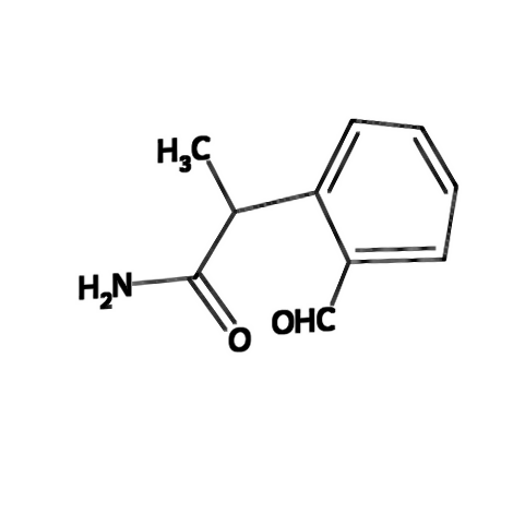 CC(C(N)=O)c1ccccc1C=O